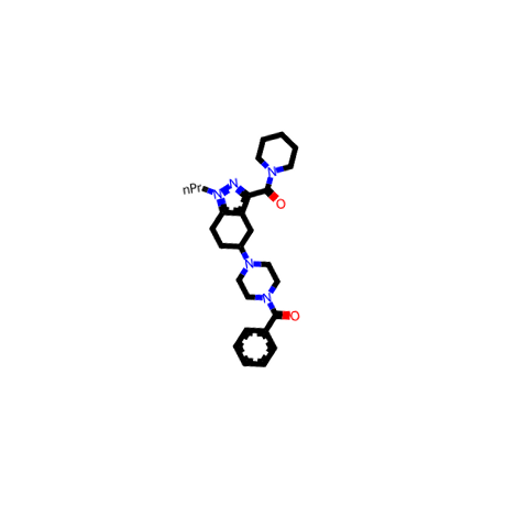 CCCn1nc(C(=O)N2CCCCC2)c2c1CCC(N1CCN(C(=O)c3ccccc3)CC1)C2